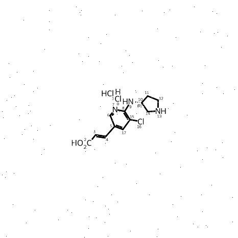 Cl.Cl.O=C(O)C=Cc1cnc(N[C@@H]2CCNC2)c(Cl)c1